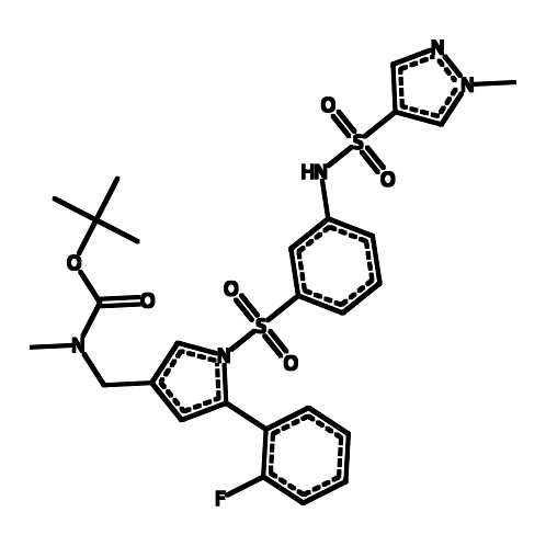 CN(Cc1cc(-c2ccccc2F)n(S(=O)(=O)c2cccc(NS(=O)(=O)c3cnn(C)c3)c2)c1)C(=O)OC(C)(C)C